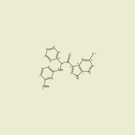 COc1cccc(NC(C(=O)c2c[nH]c3ncc(F)cc23)c2ccccc2)c1